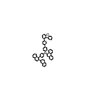 c1ccc2cc(-c3ccc4ccccc4c3-c3ccc(N(c4ccc(-c5ccc(-c6cccc7oc8ccccc8c67)cc5)cc4)c4cc5ccccc5c5ccccc45)cc3)ccc2c1